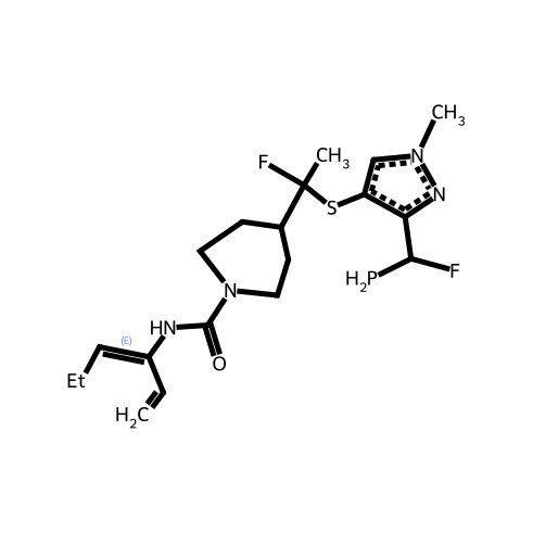 C=C/C(=C\CC)NC(=O)N1CCC(C(C)(F)Sc2cn(C)nc2C(F)P)CC1